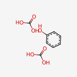 O=C(O)O.O=C(O)O.Oc1ccccc1